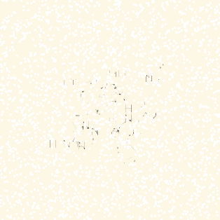 CC(C)C(=O)O[C@H]1[C@H](c2ccc3c(N)ncnn23)O[C@](C#N)(COP(=O)(N[C@@H](C)C(=O)OCCN2CCOCC2)Oc2ccccc2)[C@H]1OC(=O)C(C)C